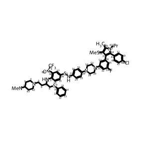 CNC1CCN(CCC(CSc2ccccc2)Nc2ccc(SNc3ccc(N4CCN(c5cc(F)cc(-c6c(SC)c(C)n(C(C)C)c6-c6ccc(Cl)cc6)c5)CC4)cc3)cc2[S+]([O-])C(F)(F)F)CC1